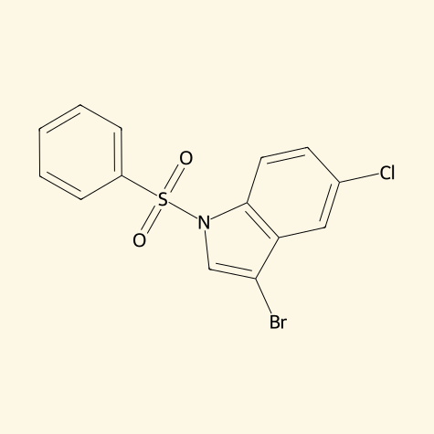 O=S(=O)(c1ccccc1)n1cc(Br)c2cc(Cl)ccc21